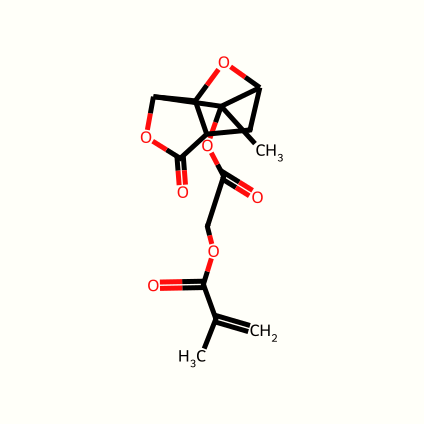 C=C(C)C(=O)OCC(=O)OC1(C)C2CC3C(=O)OC1C3O2